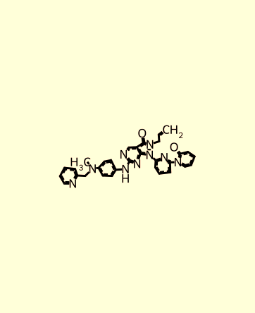 C=CCn1c(=O)c2cnc(Nc3ccc(N(C)Cc4ccccn4)cc3)nc2n1-c1cccc(-n2ccccc2=O)n1